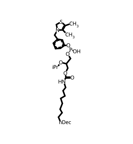 CCCCCCCCCCCCCCCCCCNC(=O)OCC(COP(O)Oc1cccc(CN2CSC(C)=C2C)c1)OC(C)C